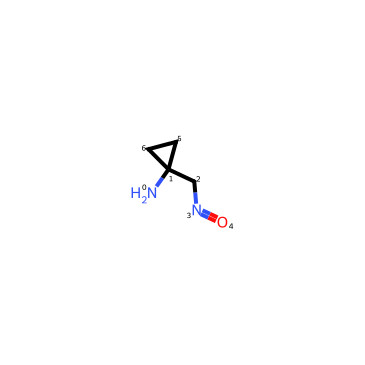 NC1(CN=O)CC1